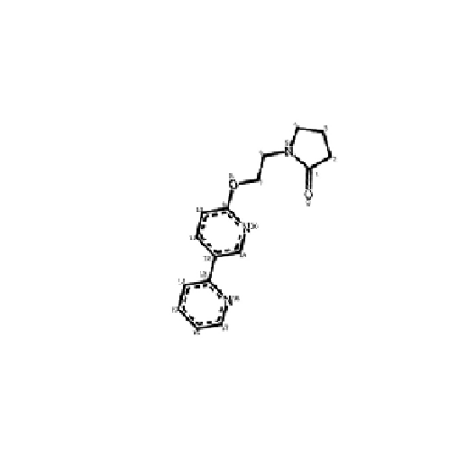 O=C1CCCN1CCOc1ccc(-c2ccccn2)cn1